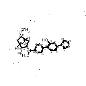 CO[C@@H]1C[C@@H]2N[C@H]1C[C@@H](N(C)c1ncc(-c3ccc(-n4ccnc4)cc3O)nn1)[C@@H]2F